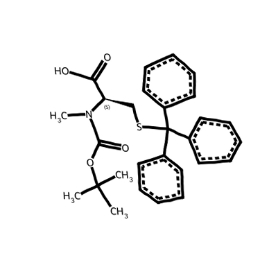 CN(C(=O)OC(C)(C)C)[C@H](CSC(c1ccccc1)(c1ccccc1)c1ccccc1)C(=O)O